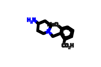 COc1cccc(C(=O)O)c1CN1CCC(N)CC1